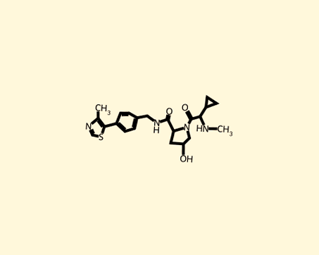 CNC(C(=O)N1CC(O)CC1C(=O)NCc1ccc(-c2scnc2C)cc1)C1CC1